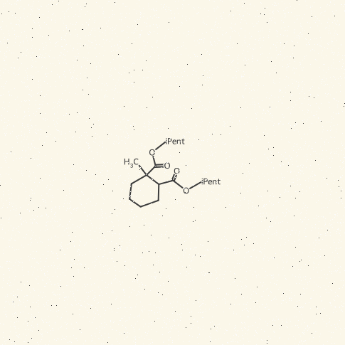 CCCC(C)OC(=O)C1CCCCC1(C)C(=O)OC(C)CCC